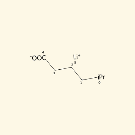 CC(C)CCCC(=O)[O-].[Li+]